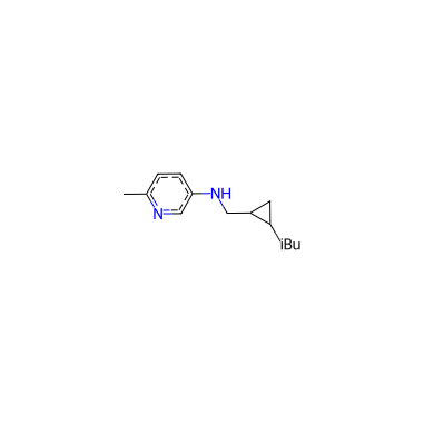 CCC(C)C1CC1CNc1ccc(C)nc1